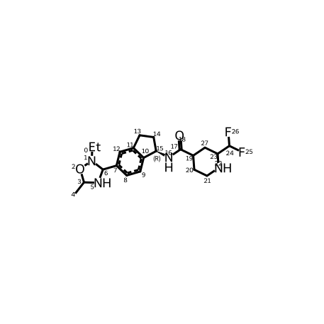 CCN1OC(C)NC1c1ccc2c(c1)CC[C@H]2NC(=O)C1CCNC(C(F)F)C1